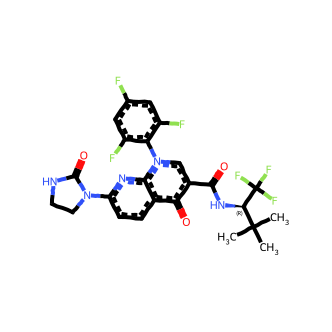 CC(C)(C)[C@@H](NC(=O)c1cn(-c2c(F)cc(F)cc2F)c2nc(N3CCNC3=O)ccc2c1=O)C(F)(F)F